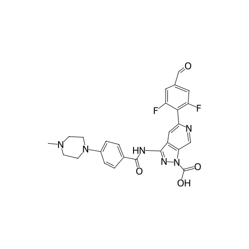 CN1CCN(c2ccc(C(=O)Nc3nn(C(=O)O)c4cnc(-c5c(F)cc(C=O)cc5F)cc34)cc2)CC1